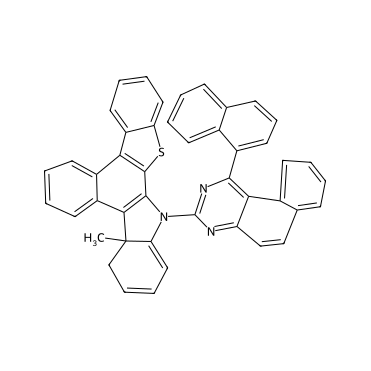 CC12CC=CC=C1N(c1nc(-c3cccc4ccccc34)c3c(ccc4ccccc43)n1)c1c2c2ccccc2c2c1sc1ccccc12